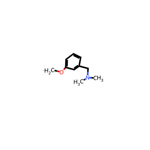 [CH2]Oc1cccc(CN(C)C)c1